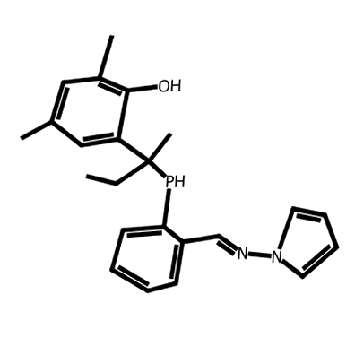 CCC(C)(Pc1ccccc1/C=N/n1cccc1)c1cc(C)cc(C)c1O